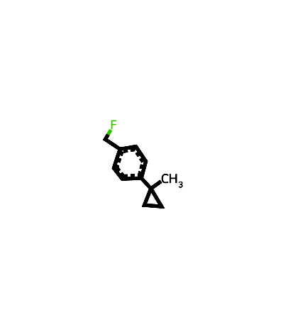 CC1(c2ccc(CF)cc2)CC1